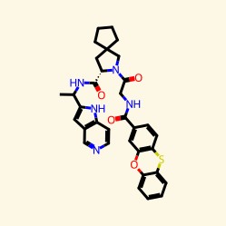 CC(NC(=O)[C@@H]1CC2(CCCC2)CN1C(=O)CNC(=O)c1ccc2c(c1)Oc1ccccc1S2)c1cc2cnccc2[nH]1